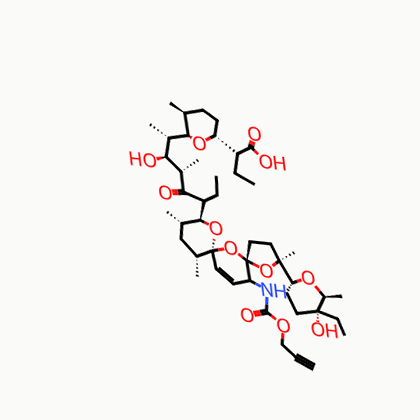 C#CCOC(=O)NC1C=C[C@]2(O[C@H](C(CC)C(=O)[C@@H](C)[C@@H](O)[C@H](C)[C@@H]3O[C@@H](C(CC)C(=O)O)CC[C@@H]3C)[C@@H](C)C[C@H]2C)O[C@@]12CC[C@@](C)([C@H]1CC[C@](O)(CC)[C@H](C)O1)O2